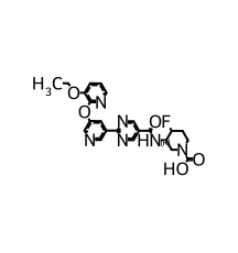 CCOc1cccnc1Oc1cncc(-c2ncc(C(=O)N[C@@H]3CN(C(=O)O)CCC3F)cn2)c1